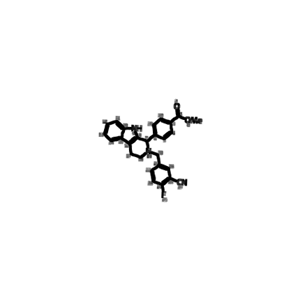 COC(=O)c1ccc(C2c3[nH]c4ccccc4c3CCN2Cc2ccc(F)c(C#N)c2)cc1